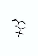 C=[C]C(CC)N[S+]([O-])C(C)(C)C